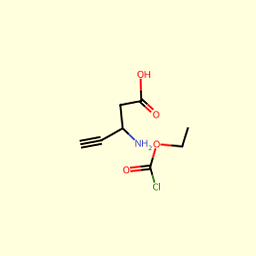 C#CC(N)CC(=O)O.CCOC(=O)Cl